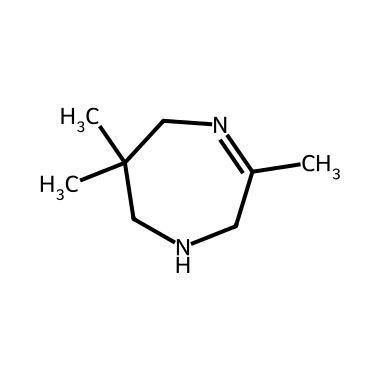 CC1=NCC(C)(C)CNC1